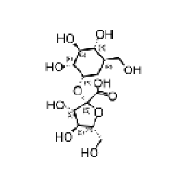 O=C(O)[C@@]1(O[C@H]2C[C@H](CO)[C@@H](O)[C@H](O)[C@H]2O)O[C@H](CO)[C@@H](O)[C@@H]1O